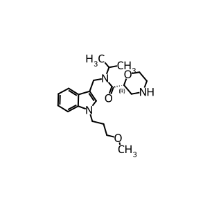 COCCCn1cc(CN(C(=O)[C@H]2CNCCO2)C(C)C)c2ccccc21